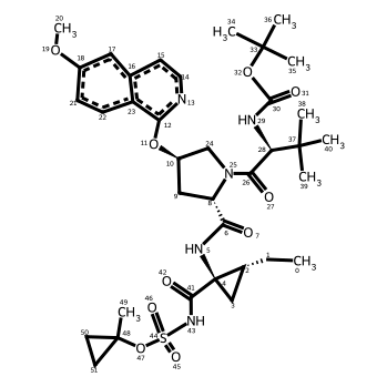 CC[C@@H]1C[C@]1(NC(=O)[C@@H]1C[C@@H](Oc2nccc3cc(OC)ccc23)CN1C(=O)[C@@H](NC(=O)OC(C)(C)C)C(C)(C)C)C(=O)NS(=O)(=O)OC1(C)CC1